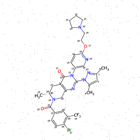 Cc1cc(C)n(-c2nc3c(c(=O)n2-c2ccc(OCCN4CCCC4)nc2)C[C@@H](C)N(C(=O)c2ccc(Br)c(C(F)(F)F)c2)C3)n1